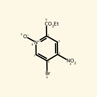 CCOC(=O)c1cc([N+](=O)[O-])c(Br)c[n+]1[O-]